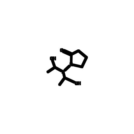 CC(O)N(C(C)O)N1CCCC1=O